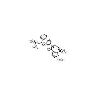 CSc1ncc2c(n1)N(C)CCN(c1cccc(OC(CCN(C)C(C)(C)C)c3ccccn3)c1)C2=O